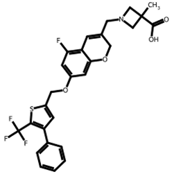 CC1(C(=O)O)CN(CC2=Cc3c(F)cc(OCc4cc(-c5ccccc5)c(C(F)(F)F)s4)cc3OC2)C1